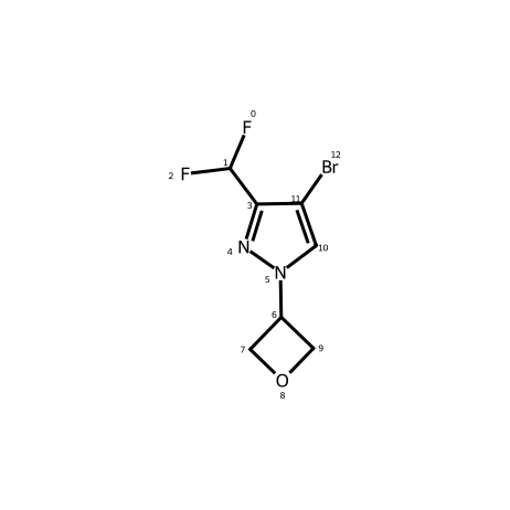 FC(F)c1nn(C2COC2)cc1Br